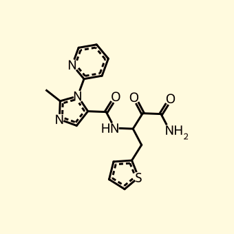 Cc1ncc(C(=O)NC(Cc2cccs2)C(=O)C(N)=O)n1-c1ccccn1